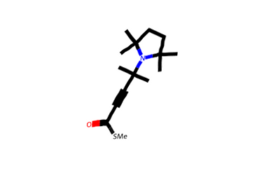 CSC(=O)C#CC(C)(C)N1C(C)(C)CCC1(C)C